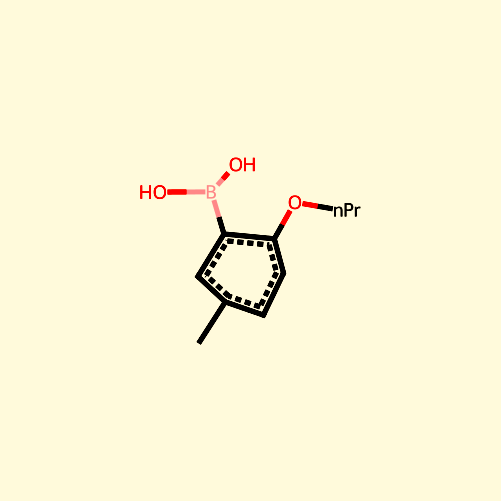 CCCOc1ccc(C)cc1B(O)O